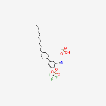 CCCCCCCCCC1CCC(c2ccc(OS(=O)(=O)C(F)(F)F)c(C#N)c2)CC1.CS(=O)(=O)O